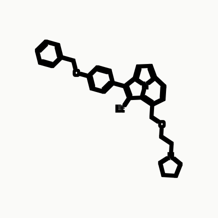 CCc1c(-c2ccc(OCc3ccccc3)cc2)c2ccc3ccc(COCCN4CCCC4)c1n32